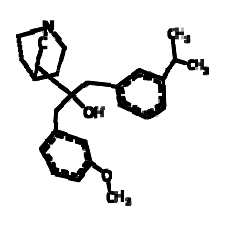 COc1cccc(CC(O)(Cc2cccc(C(C)C)c2)C2CN3CCC2CC3)c1